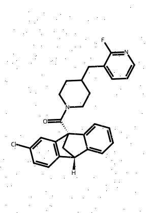 O=C(N1CCC(Cc2cccnc2F)CC1)[C@@]12C[C@H](c3ccccc31)c1ccc(Cl)cc12